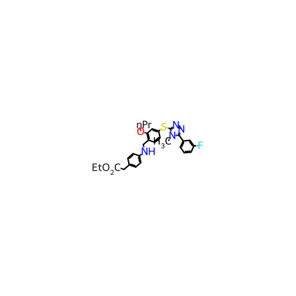 CCCOc1cc(Sc2nnc(-c3cccc(F)c3)n2C)ccc1CNc1ccc(CC(=O)OCC)cc1